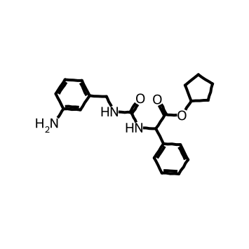 Nc1cccc(CNC(=O)NC(C(=O)OC2CCCC2)c2ccccc2)c1